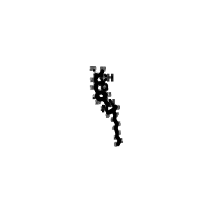 CCCCCCCCc1cnc(-c2ccc(C=C(C[C@H](C)CC)C(=O)O)cc2)nc1